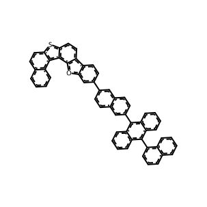 c1ccc2c(-c3c4ccccc4c(-c4ccc5cc(-c6ccc7c(c6)oc6c7ccc7sc8ccc9ccccc9c8c76)ccc5c4)c4ccccc34)cccc2c1